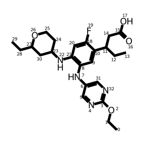 CCOc1ncc(Nc2cc(C(CC)CC(=O)O)c(F)cc2NC2CCOC(CC)C2)cn1